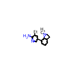 CCc1cc(-c2cccc3c2N(C)CC3)cnc1N